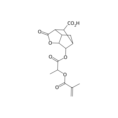 C=C(C)C(=O)OC(C)C(=O)OC1C2CC3C1OC(=O)C3C2C(=O)O